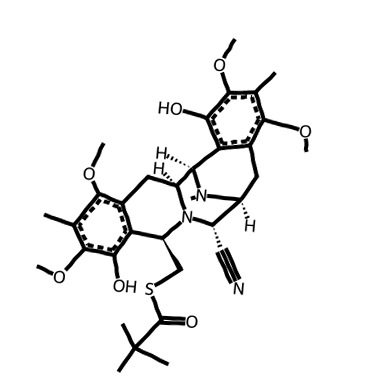 COc1c(C)c(OC)c2c(c1O)[C@@H]1[C@@H]3Cc4c(OC)c(C)c(OC)c(O)c4[C@H](CSC(=O)C(C)(C)C)N3[C@@H](C#N)[C@H](C2)N1C